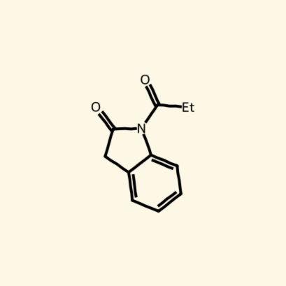 CCC(=O)N1C(=O)Cc2ccccc21